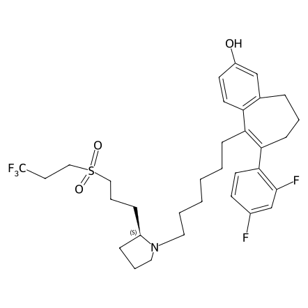 O=S(=O)(CCC[C@@H]1CCCN1CCCCCCC1=C(c2ccc(F)cc2F)CCCc2cc(O)ccc21)CCC(F)(F)F